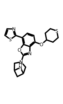 c1csc(-c2ccc(OC3CCSCC3)c3nc(N4CC5CC(C4)N5)oc23)n1